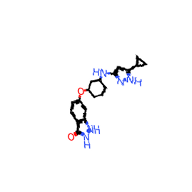 O=c1[nH][nH]c2cc(OC3CCCC(Nc4cc(C5CC5)[nH]n4)C3)ccc12